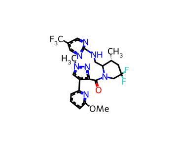 COc1cccc(-c2cn(C)nc2C(=O)N2CC(F)(F)C[C@@H](C)C2CNc2ncc(C(F)(F)F)cn2)n1